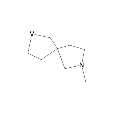 CN1CCC2(C[CH2][V][CH2]2)C1